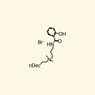 CCCCCCCCCCCC[N+](C)(C)CCCNC(=O)c1ccccc1O.[Br-]